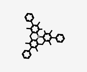 Cc1c(C)c(-c2ccccc2)c(C)c2c1B1c3c(C)c(C)c(-c4ccccc4)c(C)c3Cc3c(C)c(-c4ccccc4)c(C)c(c31)C2